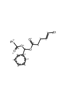 CCC=CCCC(=O)OC(OC(=O)C(C)C)c1ccccc1